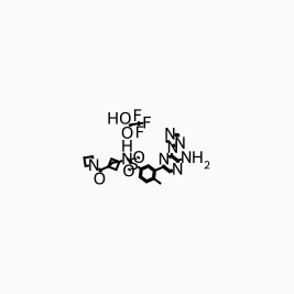 Cc1ccc(S(=O)(=O)NC23CC(C(=O)N4CCC4)(C2)C3)cc1-c1cnc(N)c(-n2cncn2)n1.O=C(O)C(F)(F)F